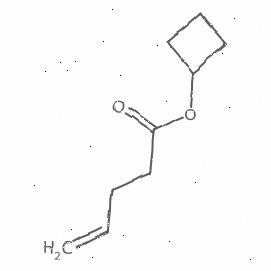 C=CCCC(=O)OC1CCC1